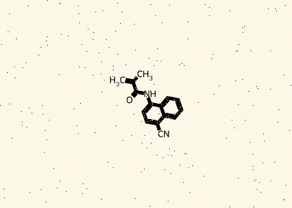 C=C(C)C(=O)Nc1ccc(C#N)c2ccccc12